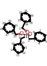 [O]=[Ti]([CH2]c1ccccc1)([CH2]c1ccccc1)([O]Cc1ccccc1)[O]Cc1ccccc1